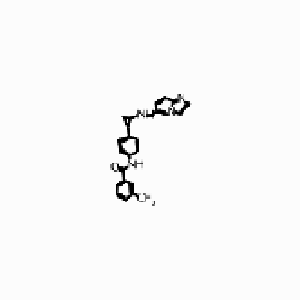 O=C(Nc1ccc(C2CC2NCc2ccc3nccn3c2)cc1)c1cccc(C(F)(F)F)c1